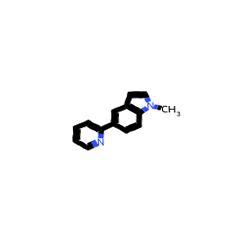 Cn1ccc2cc(-c3ccccn3)ccc21